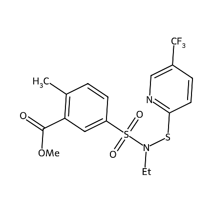 CCN(Sc1ccc(C(F)(F)F)cn1)S(=O)(=O)c1ccc(C)c(C(=O)OC)c1